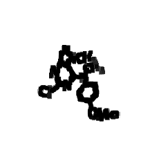 COc1ccc(N(C)c2nc(Cl)nc3cnn(C)c23)cc1